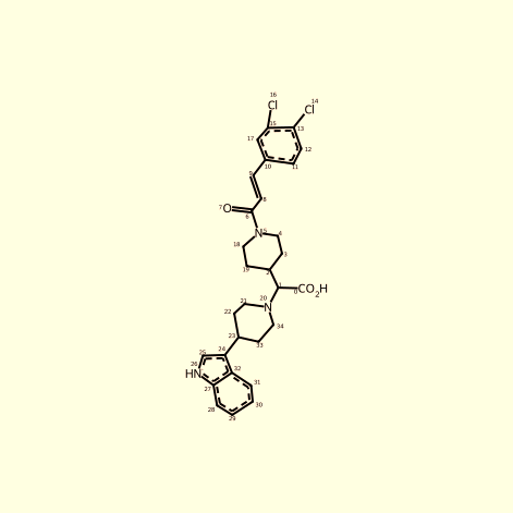 O=C(O)C(C1CCN(C(=O)C=Cc2ccc(Cl)c(Cl)c2)CC1)N1CCC(c2c[nH]c3ccccc23)CC1